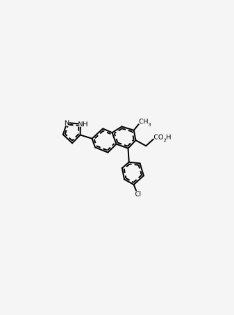 Cc1cc2cc(-c3ccn[nH]3)ccc2c(-c2ccc(Cl)cc2)c1CC(=O)O